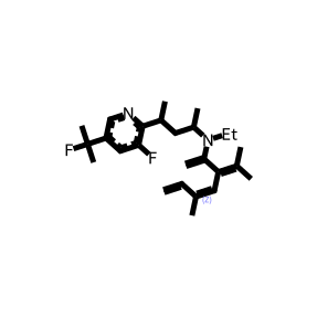 C=C/C(C)=C\C(C(=C)N(CC)C(C)CC(C)c1ncc(C(C)(C)F)cc1F)=C(C)C